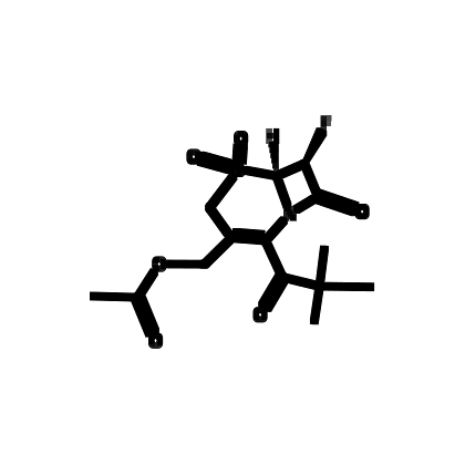 CC(=O)OCC1=C(C(=O)C(C)(C)C)N2C(=O)[C@H](F)[C@@H]2S(=O)(=O)C1